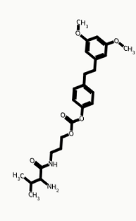 COc1cc(CCc2ccc(OC(=O)OCCCNC(=O)C(N)C(C)C)cc2)cc(OC)c1